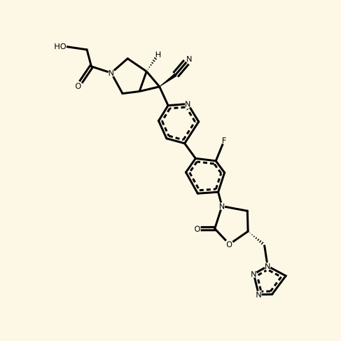 N#C[C@@]1(c2ccc(-c3ccc(N4C[C@H](Cn5ccnn5)OC4=O)cc3F)cn2)C2CN(C(=O)CO)C[C@H]21